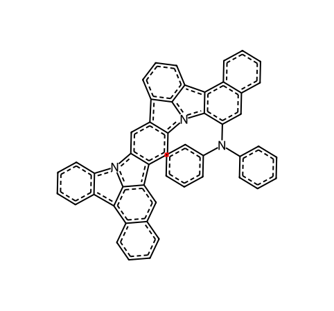 c1ccc(N(c2ccccc2)c2cc3ccccc3c3c4cccc5c6cc7c(cc6n(c23)c54)c2cc3ccccc3c3c4ccccc4n7c23)cc1